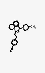 CC1CCN(C(=O)c2cccc3c2N(C(=O)CCc2ccc(C#N)cc2)CCC3)CC1